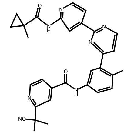 Cc1ccc(NC(=O)c2ccnc(C(C)(C)C#N)c2)cc1-c1ccnc(-c2ccnc(NC(=O)C3(C)CC3)c2)n1